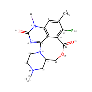 Cc1cc2c3c(nc(=O)n2I)N2CCN(C)CC2COC(=O)c3c1F